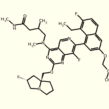 CCc1c(F)ccc2cc(OCOC)cc(-c3ncc4c(N(C)CC(C)CC(=O)NC)nc(OC[C@@]56CCCN5C[C@H](F)C6)nc4c3F)c12